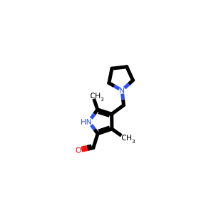 Cc1[nH]c(C=O)c(C)c1CN1CCCC1